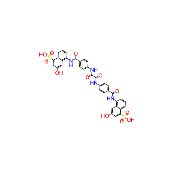 O=C(Nc1ccc(C(=O)Nc2cccc3c(S(=O)(=O)O)cc(O)cc23)cc1)C(=O)Nc1ccc(C(=O)Nc2cccc3c(S(=O)(=O)O)cc(O)cc23)cc1